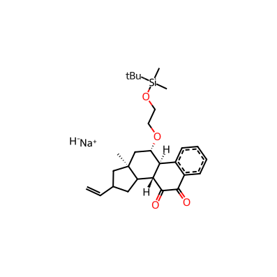 C=CC1CC2[C@H]3C(=O)C(=O)c4ccccc4[C@@H]3[C@@H](OCCO[Si](C)(C)C(C)(C)C)C[C@]2(C)C1.[H-].[Na+]